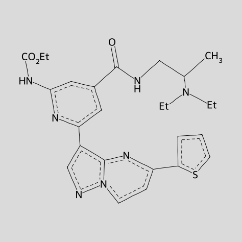 CCOC(=O)Nc1cc(C(=O)NCC(C)N(CC)CC)cc(-c2cnn3ccc(-c4cccs4)nc23)n1